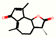 CC1=CC(=O)C2=C(C)CCC3C(OC(=O)[C@@H]3C)C12